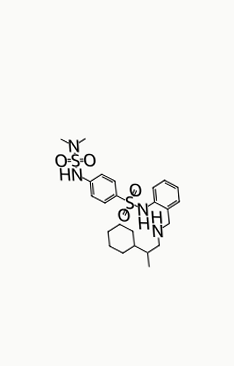 CC(CNCc1ccccc1NS(=O)(=O)c1ccc(NS(=O)(=O)N(C)C)cc1)C1CCCCC1